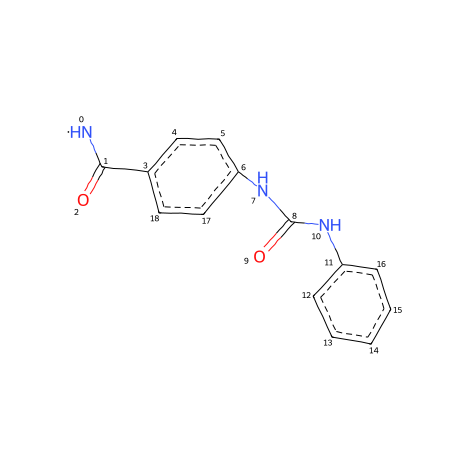 [NH]C(=O)c1ccc(NC(=O)Nc2ccccc2)cc1